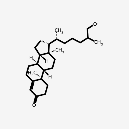 CC(C[O])CCC[C@@H](C)[C@H]1CC[C@H]2[C@@H]3CCC4=CC(=O)CC[C@]4(C)[C@H]3CC[C@]12C